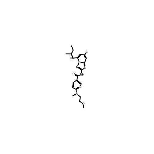 CCC(C)Nc1cc(Cl)cc2nc(NC(=O)c3ccc(N(C)CCOC)nc3)nn12